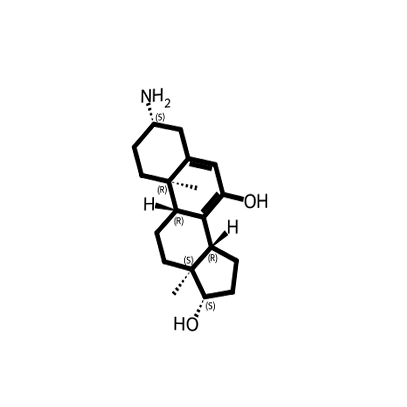 C[C@]12CC[C@H]3C(=C(O)C=C4C[C@@H](N)CC[C@@]43C)[C@@H]1CC[C@@H]2O